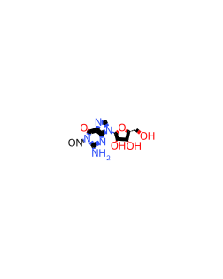 Nc1nc2c(ncn2[C@@H]2O[C@H](CO)[C@@H](O)[C@H]2O)c(=O)n1N=O